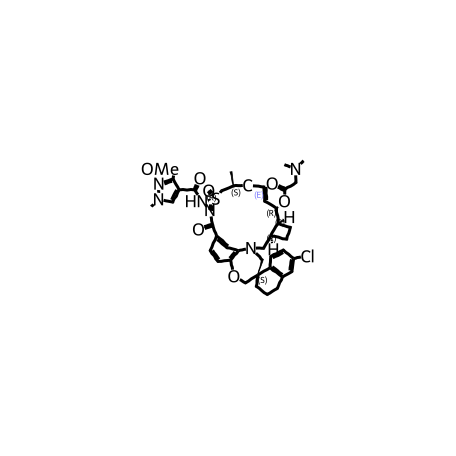 COc1nn(C)cc1C(=O)N[S@@]1(=O)=NC(=O)c2ccc3c(c2)N(C[C@@H]2CC[C@H]2[C@@H](OC(=O)CN(C)C)/C=C/C[C@H](C)C1)C[C@@]1(CCCc2cc(Cl)ccc21)CO3